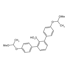 COC(C)Oc1ccc(-c2cccc(-c3ccc(OC(C)OC)cc3)c2S(=O)(=O)O)cc1